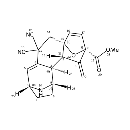 C=C1[C@@H]2[C@@H]3C(=C[C@H]4CC[C@@H]3N4)C(C#N)(C#N)C[C@@]23C=C[C@]1(C(=O)OC)O3